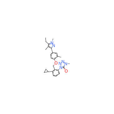 CCc1c(C)c(-c2ccc(OCc3c(C4CC4)cccc3-n3nnn(C)c3=O)c(C)c2)nn1C